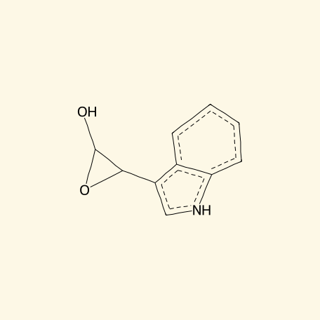 OC1OC1c1c[nH]c2ccccc12